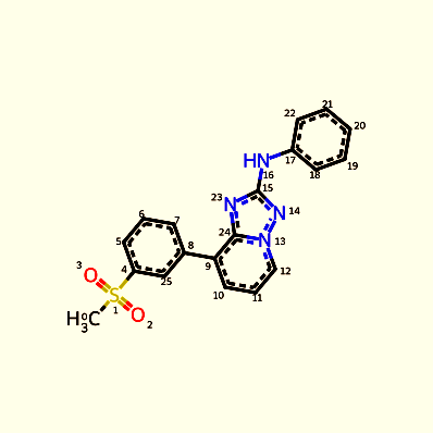 CS(=O)(=O)c1cccc(-c2cccn3nc(Nc4ccccc4)nc23)c1